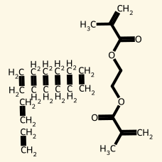 C=C.C=C.C=C.C=C.C=C.C=C.C=C.C=C.C=C(C)C(=O)OCCOC(=O)C(=C)C